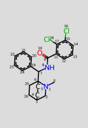 CN1CC2CCC1(C(NC(=O)c1cccc(Cl)c1Cl)c1ccccc1)CC2